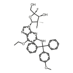 CCOc1nc(NC(c2ccccc2)(c2ccccc2)c2ccc(OC)cc2)nc2c1ncn2[C@H]1O[C@](F)(CO)[C@@H](O)[C@@]1(C)F